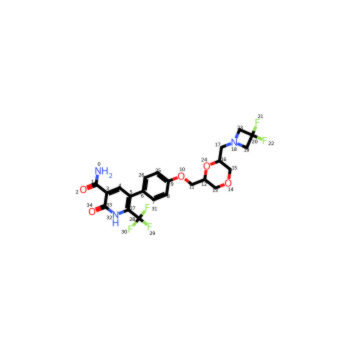 NC(=O)c1cc(-c2ccc(OCC3COCC(CN4CC(F)(F)C4)O3)cc2)c(C(F)(F)F)[nH]c1=O